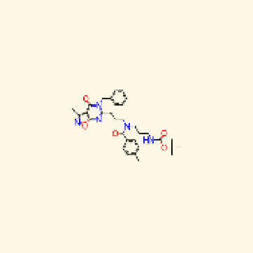 Cc1ccc(C(=O)N(CCCNC(=O)OC(C)(C)C)CCCc2nc3onc(C)c3c(=O)n2Cc2ccccc2)cc1